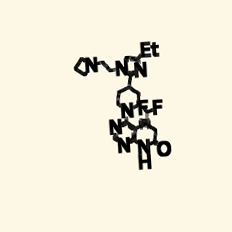 CCc1cn(CCN2CCC2)c(C2CCN(c3ncnc4c3[C@H](C(F)F)CC(=O)N4)CC2)n1